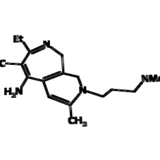 CCC1=NCC2=C(C=C(C)N(CCCNC)C2)C(N)=C1C